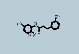 O=C(CCc1cccc(O)c1)Nc1cc(O)ccc1C(=O)O